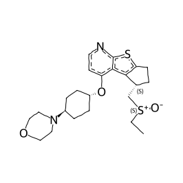 CC[S@@+]([O-])C[C@H]1CCc2sc3nccc(O[C@H]4CC[C@H](N5CCOCC5)CC4)c3c21